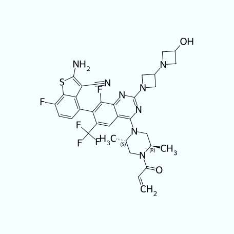 C=CC(=O)N1C[C@H](C)N(c2nc(N3CC(N4CC(O)C4)C3)nc3c(F)c(-c4ccc(F)c5sc(N)c(C#N)c45)c(C(F)(F)F)cc23)C[C@H]1C